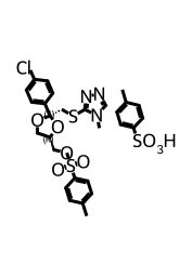 Cc1ccc(S(=O)(=O)O)cc1.Cc1ccc(S(=O)(=O)OC[C@H]2CO[C@@](CSc3nncn3C)(c3ccc(Cl)cc3)O2)cc1